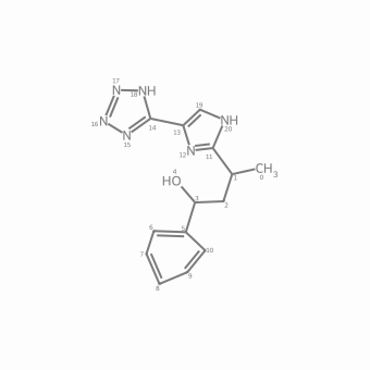 CC(CC(O)c1ccccc1)c1nc(-c2nnn[nH]2)c[nH]1